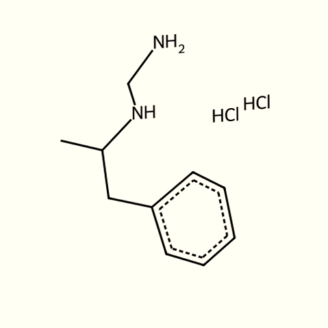 CC(Cc1ccccc1)NCN.Cl.Cl